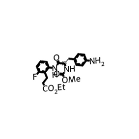 CCOC(=O)CCc1c(F)cccc1NC(=O)[C@H](Cc1ccc(N)cc1)NC(=O)OC